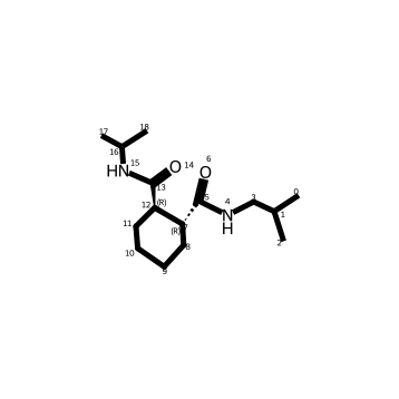 CC(C)CNC(=O)[C@@H]1CCCC[C@H]1C(=O)NC(C)C